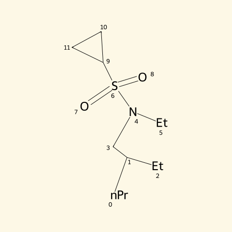 CCCC(CC)CN(CC)S(=O)(=O)C1CC1